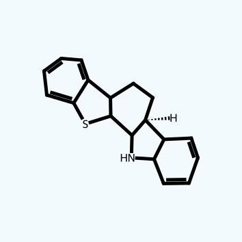 C1=CC2NC3C4Sc5ccccc5C4CC[C@H]3C2C=C1